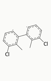 Cc1c(-c2[c]ccc(Cl)c2C)[c]ccc1Cl